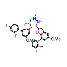 COc1cc2c(c(-c3ccc(F)cc3F)c1)OC(CN(C)N(C)CC1Cc3cc(OC)cc(-c4cccc(C)c4C)c3O1)C2